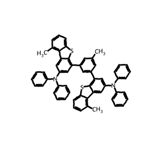 Cc1cc(-c2cc(N(c3ccccc3)c3ccccc3)cc3c2sc2cccc(C)c23)cc(-c2cc(N(c3ccccc3)c3ccccc3)cc3c2sc2cccc(C)c23)c1